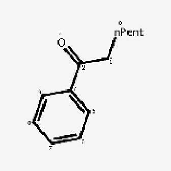 [CH2]CCCC[CH]C(=O)c1ccccc1